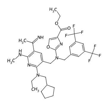 CCOC(=O)c1coc(N(Cc2cc(C(F)(F)F)cc(C(F)(F)F)c2)Cc2cc(C(C)=N)c(NC)nc2N(CC)CC2CCCC2)n1